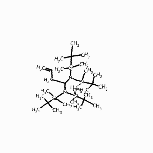 C=C[SiH2]C(N([Si](C)(C)C(C)(C)C)[Si](C)(C)C(C)(C)C)N([Si](C)(C)C(C)(C)C)[Si](C)(C)C(C)(C)C